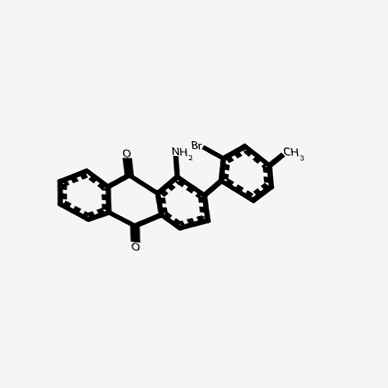 Cc1ccc(-c2ccc3c(c2N)C(=O)c2ccccc2C3=O)c(Br)c1